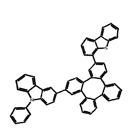 c1ccc(-n2c3ccccc3c3cc(-c4ccc5c(c4)-c4ccccc4-c4ccccc4-c4ccc(-c6cccc7c6sc6ccccc67)cc4-5)ccc32)cc1